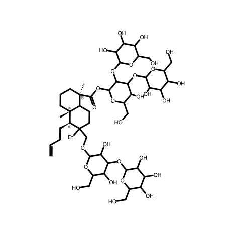 C=CCC[C@@H]1C(CC)(COC2OC(CO)C(O)C(OC3OC(CO)C(O)C(O)C3O)C2O)CCC2[C@](C)(C(=O)OC3OC(CO)C(O)C(OC4OC(CO)C(O)C(O)C4O)C3OC3OC(CO)C(O)C(O)C3O)CCC[C@]21C